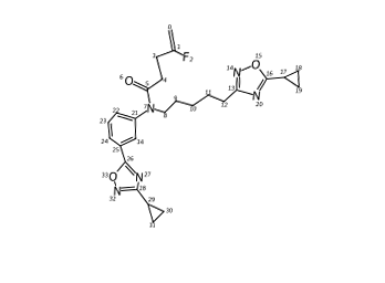 C=C(F)CCC(=O)N(CCCCCc1noc(C2CC2)n1)c1cccc(-c2nc(C3CC3)no2)c1